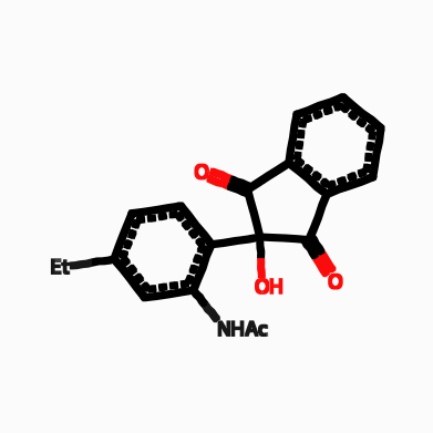 CCc1ccc(C2(O)C(=O)c3ccccc3C2=O)c(NC(C)=O)c1